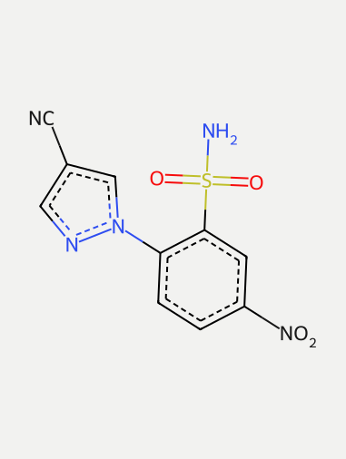 N#Cc1cnn(-c2ccc([N+](=O)[O-])cc2S(N)(=O)=O)c1